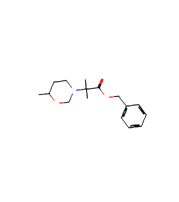 CCC1CCN(C(C)(C)C(=O)OCc2ccccc2)CO1